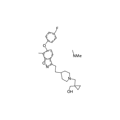 CNC.Cc1c(Oc2ccc(F)cc2)ccc2c(CCC3CCN(CC4(CO)CC4)CC3)noc12